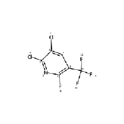 Fc1nc(Cl)c(Cl)cc1C(F)(F)F